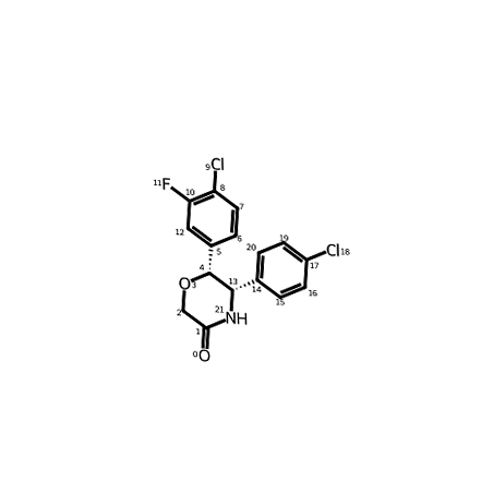 O=C1CO[C@H](c2ccc(Cl)c(F)c2)[C@H](c2ccc(Cl)cc2)N1